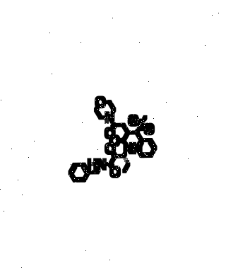 CC[C@@H](NC(=O)C(CC(=O)N1CCOCC1)C(c1ccccc1)S(C)(=O)=O)C(=O)C(=O)NCc1ccccc1